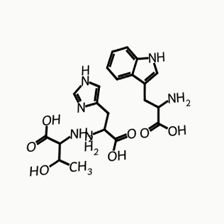 CC(O)C(N)C(=O)O.NC(Cc1c[nH]c2ccccc12)C(=O)O.NC(Cc1c[nH]cn1)C(=O)O